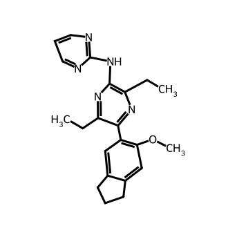 CCc1nc(-c2cc3c(cc2OC)CCC3)c(CC)nc1Nc1ncccn1